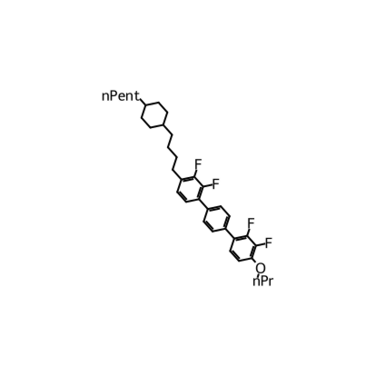 CCCCCC1CCC(CCCCc2ccc(-c3ccc(-c4ccc(OCCC)c(F)c4F)cc3)c(F)c2F)CC1